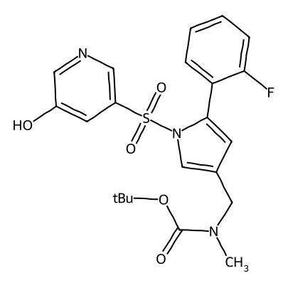 CN(Cc1cc(-c2ccccc2F)n(S(=O)(=O)c2cncc(O)c2)c1)C(=O)OC(C)(C)C